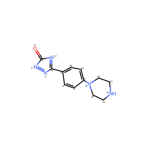 O=C1N=NC(c2ccc(N3CCNCC3)cc2)=N1